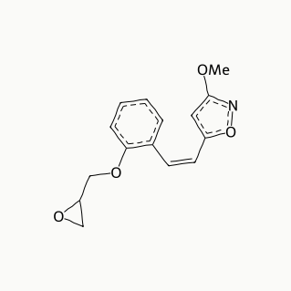 COc1cc(/C=C\c2ccccc2OCC2CO2)on1